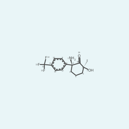 C[C@]1(O)CCC[C@](N)(c2ccc(C(F)(F)F)cc2)C1=O